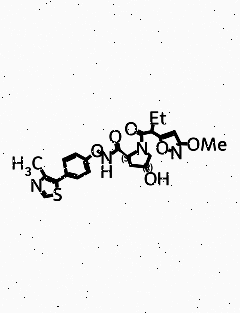 CCC(C(=O)N1C[C@H](O)C[C@H]1C(=O)NOc1ccc(-c2scnc2C)cc1)c1cc(OC)no1